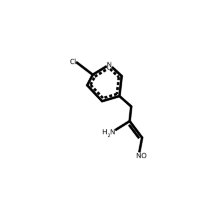 N/C(=C\N=O)Cc1ccc(Cl)nc1